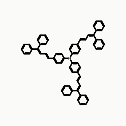 C(=Cc1ccc(N(c2ccc(C=CC=C(c3ccccc3)c3ccccc3)cc2)c2ccc(C=CC=C(c3ccccc3)c3ccccc3)cc2)cc1)C=C(c1ccccc1)c1ccccc1